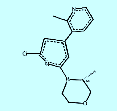 Cc1ncccc1-c1cc(Cl)nc(N2CCOC[C@H]2C)c1